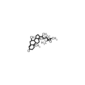 CC1CC2=CC(=O)CCC2(C)C2CCC3(C)C(C(C)CCC4(C)OC4(C)C)CCC3C12